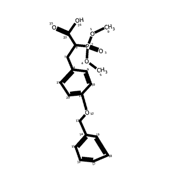 COP(=O)(OC)C(Cc1ccc(OCc2ccccc2)cc1)C(=O)O